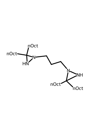 CCCCCCCCC1(CCCCCCCC)NN1CCCN1NC1(CCCCCCCC)CCCCCCCC